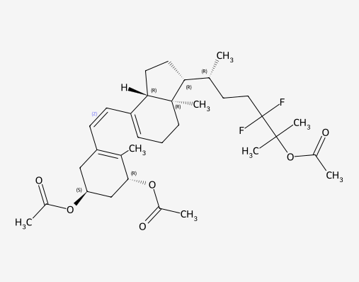 CC(=O)O[C@H]1CC(/C=C\C2=CCC[C@]3(C)[C@@H]([C@H](C)CCC(F)(F)C(C)(C)OC(C)=O)CC[C@@H]23)=C(C)[C@H](OC(C)=O)C1